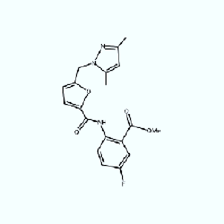 COC(=O)c1cc(F)ccc1NC(=O)c1ccc(Cn2nc(C)cc2C)o1